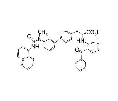 CN(C(=O)Nc1cccc2ccccc12)c1cccc(-c2ccc(C[C@H](Nc3ccccc3C(=O)c3ccccc3)C(=O)O)cc2)c1